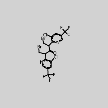 O=C(C(CBr)c1ncc(C(F)(F)F)cc1Cl)C(CBr)c1ncc(C(F)(F)F)cc1Cl